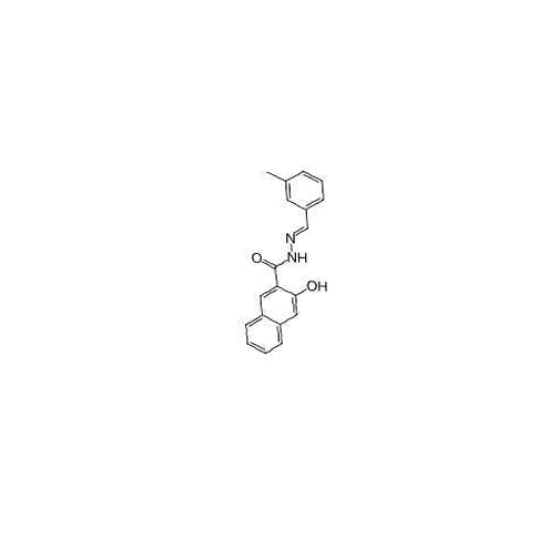 Cc1cccc(/C=N/NC(=O)c2cc3ccccc3cc2O)c1